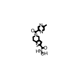 Cc1cnc(C(=O)N2CCc3sc(C(=O)NO)cc3C2)cn1